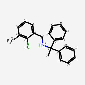 CC(NCc1cccc(C(F)(F)F)c1Cl)(c1ccccc1)c1ccccc1